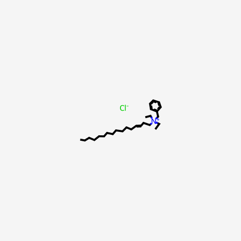 CCCCCCCCCCCCC=CCC[N+](CC)(CC)Cc1ccccc1.[Cl-]